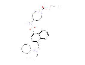 CCOC(=O)N1CCC(NS(=O)(=O)c2ccc(CN(CC)C3CCCCC3)c3ccccc23)CC1